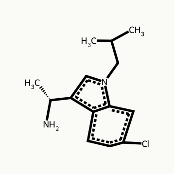 CC(C)Cn1cc([C@@H](C)N)c2ccc(Cl)cc21